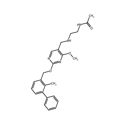 COc1nc(OCc2cccc(-c3ccccc3)c2C)ncc1CNCCNC(C)=O